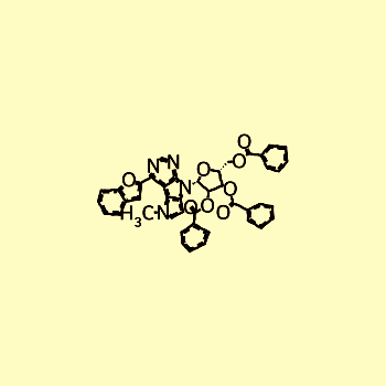 Cn1ccc2c1c1c(-c3cc4ccccc4o3)ncnc1n2[C@@H]1O[C@H](COC(=O)c2ccccc2)[C@@H](OC(=O)c2ccccc2)[C@H]1OC(=O)c1ccccc1